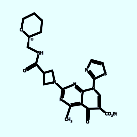 CCOC(=O)c1cn(-c2nccs2)c2nc(N3CC(C(=O)NC[C@@H]4CCCCO4)C3)nc(C)c2c1=O